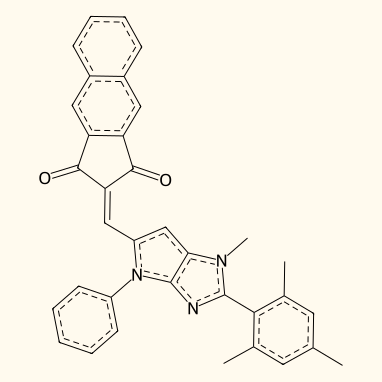 Cc1cc(C)c(-c2nc3c(cc(C=C4C(=O)c5cc6ccccc6cc5C4=O)n3-c3ccccc3)n2C)c(C)c1